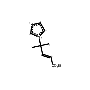 CCOC(=O)/C=C/C(C)(C)n1ccnc1